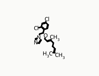 CC(C)=CCC/C(C)=C/COC(Cn1ccnc1)c1ccc(Cl)cc1Cl